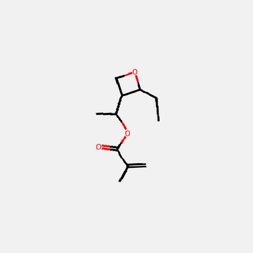 C=C(C)C(=O)OC(C)C1COC1CC